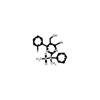 CC(C)c1nc([N+](C)(c2ccccc2)S(C)(=O)=O)nc(-c2ccccc2F)c1CO